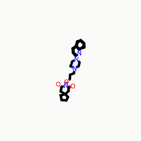 O=C1CC2(CCCC2)CC(=O)N1OCCCN1CCN(c2ccc3ccccc3n2)CC1